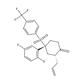 C=CC[C@@H]1C[C@](c2cc(F)ccc2F)(S(=O)(=O)c2ccc(C(F)(F)F)cc2)CCC1=O